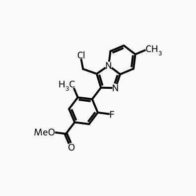 COC(=O)c1cc(C)c(-c2nc3cc(C)ccn3c2CCl)c(F)c1